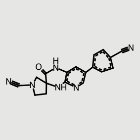 N#Cc1ccc(-c2cnc3c(c2)NC(=O)C2(CCN(C#N)C2)N3)cc1